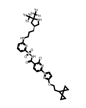 [2H]C([2H])([2H])C1(C([2H])([2H])[2H])C[C@H](CCCNc2cccc(S(=O)(=O)NC(=O)c3ccc(-n4ccc(OCCC5C6(CC6)C56CC6)n4)nc3Cl)n2)CN1